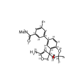 CNC(=O)c1cc(F)cc(-c2ccc3c(c2)C2(COC(N)=N2)C2(COC2)C(C)(C)O3)c1